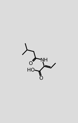 CC=C(NC(=O)CC(C)C)C(=O)O